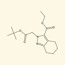 CCOC(=O)c1c2c(nn1CC(=O)OC(C)(C)C)CCCC2